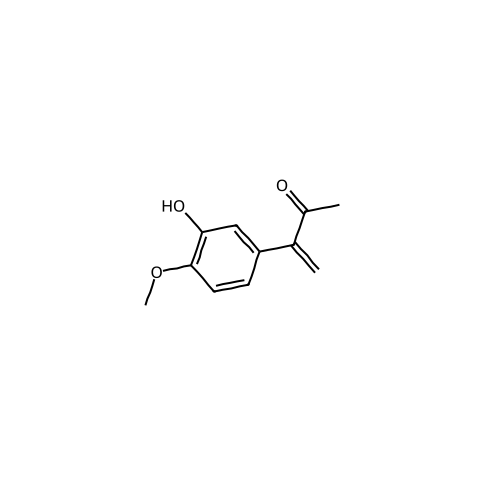 C=C(C(C)=O)c1ccc(OC)c(O)c1